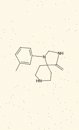 C=C1NCN(c2cccc(C)c2)C12CCNCC2